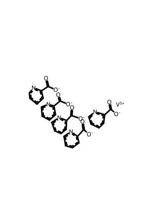 O=C([O-])c1ccccn1.O=C([O-])c1ccccn1.O=C([O-])c1ccccn1.O=C([O-])c1ccccn1.O=C([O-])c1ccccn1.[V+5]